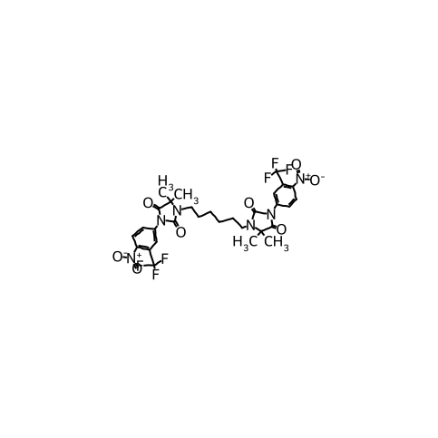 CC1(C)C(=O)N(c2ccc([N+](=O)[O-])c(C(F)(F)F)c2)C(=O)N1CCCCCCN1C(=O)N(c2ccc([N+](=O)[O-])c(C(F)(F)F)c2)C(=O)C1(C)C